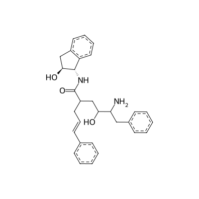 NC(Cc1ccccc1)C(O)CC(CC=Cc1ccccc1)C(=O)N[C@H]1c2ccccc2C[C@@H]1O